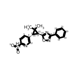 CC1(C)[C@@H](c2ccc([SH](=O)=O)nc2)[C@@H]1c1nc(-c2ccccc2)no1